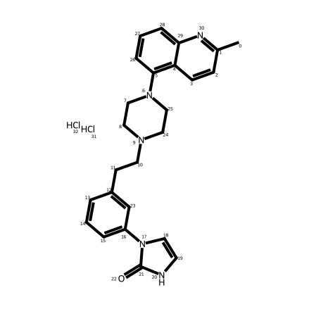 Cc1ccc2c(N3CCN(CCc4cccc(-n5cc[nH]c5=O)c4)CC3)cccc2n1.Cl.Cl